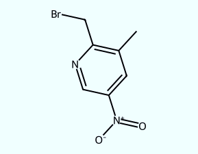 Cc1cc([N+](=O)[O-])cnc1CBr